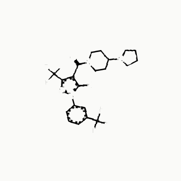 Cc1c(C(=O)N2CCC(N3CCCC3)CC2)c(C(F)(F)F)nn1-c1cccc(C(F)(F)F)c1